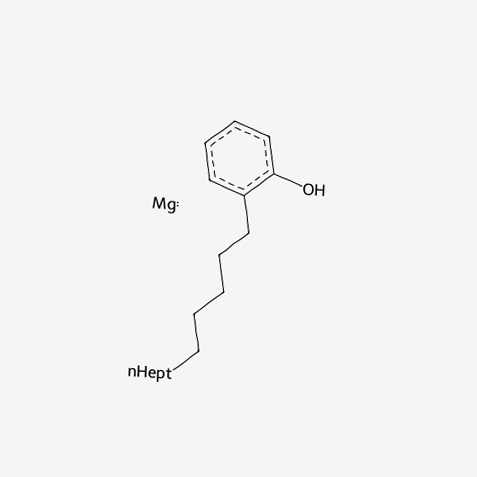 CCCCCCCCCCCCc1ccccc1O.[Mg]